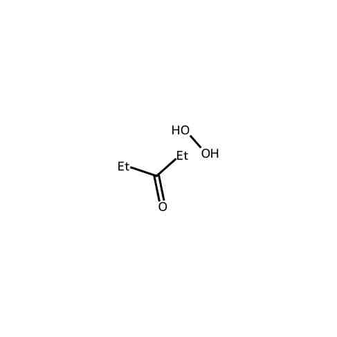 CCC(=O)CC.OO